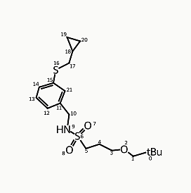 CC(C)(C)COCCCS(=O)(=O)NCc1cccc(SCC2CC2)c1